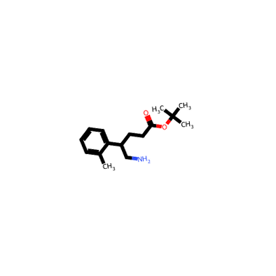 Cc1ccccc1C(CN)CCC(=O)OC(C)(C)C